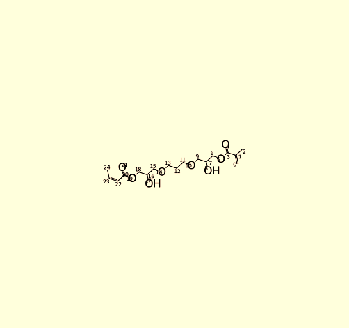 C=C(C)C(=O)OCC(O)COCCCOCC(O)COC(=O)/C=C\C